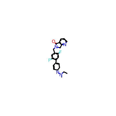 CCN(C)/N=C1/C=CC(c2cc(F)c(CN3Cc4ncccc4C3=O)cc2F)=CC1